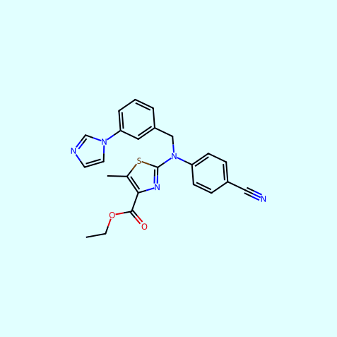 CCOC(=O)c1nc(N(Cc2cccc(-n3ccnc3)c2)c2ccc(C#N)cc2)sc1C